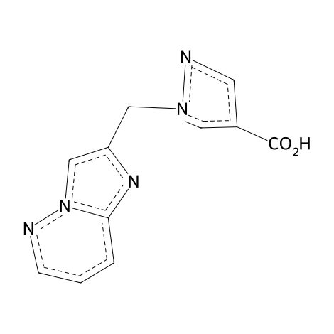 O=C(O)c1cnn(Cc2cn3ncccc3n2)c1